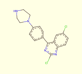 Clc1ccc2nc(Cl)nc(-c3ccc(N4CCNCC4)cc3)c2c1